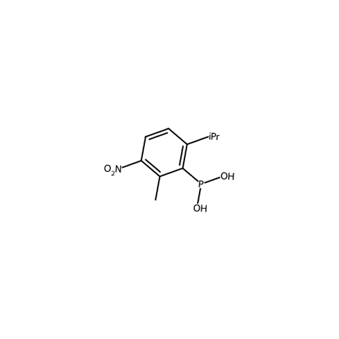 Cc1c([N+](=O)[O-])ccc(C(C)C)c1P(O)O